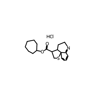 Cl.O=C(OC1CCCCCC1)C1CSC23C=CC=CC2=NCCC13